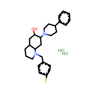 Cl.Cl.OC1CC2CCCN(Cc3ccc(F)cc3)C2CC1N1CCC(c2ccccc2)CC1